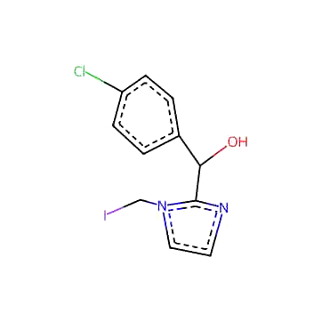 OC(c1ccc(Cl)cc1)c1nccn1CI